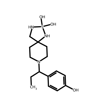 CCC(c1ccc(O)cc1)N1CCC2(CC1)CNS(O)(O)N2